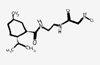 CC(C)[C@@H]1CC[C@@H](C)C[C@H]1C(=O)NCCNC(=O)CNCl